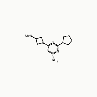 CNC1CN(c2cc(N)nc(C3CCCC3)n2)C1